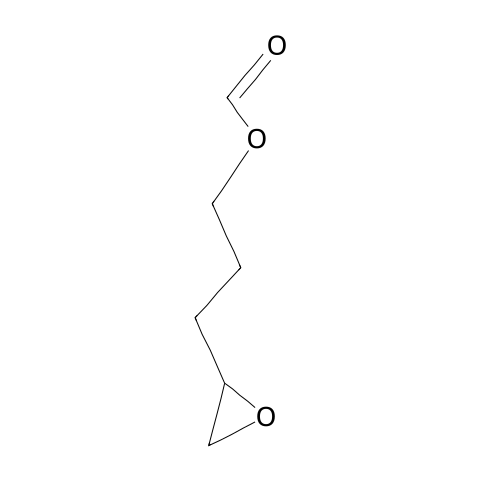 O=COCCCC1CO1